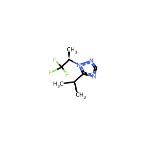 CC(C)c1ncnn1[C@H](C)C(F)(F)F